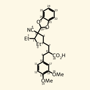 CCC(CC)C(C#N)(CCCC(Cc1ccc(OC)c(OC)c1)C(=O)O)C1Oc2ccccc2O1